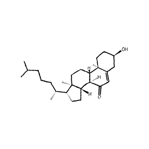 CC(C)CCC[C@@H](C)[C@H]1CC[C@H]2[C@@H]3C(=O)C=C4C[C@H](O)CC[C@]4(C)[C@H]3CC[C@]12C